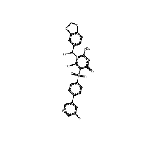 CCCCc1nc(=O)c(S(=O)(=O)c2ccc(-c3cncc(F)c3)cc2)c(O)n1C(CC)c1ccc2c(c1)OCO2